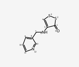 O=c1sscc1NCc1cccnc1